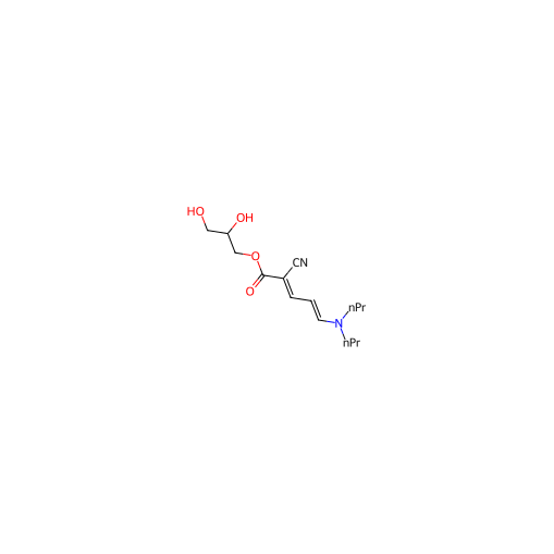 CCCN(/C=C/C=C(\C#N)C(=O)OCC(O)CO)CCC